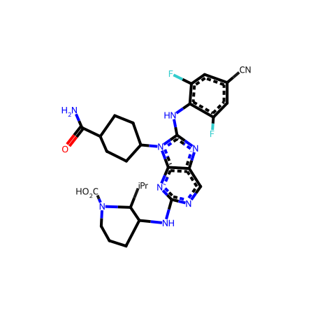 CC(C)C1C(Nc2ncc3nc(Nc4c(F)cc(C#N)cc4F)n(C4CCC(C(N)=O)CC4)c3n2)CCCN1C(=O)O